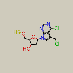 O[C@@H]1C[C@H](n2cc(CCl)c3c(Cl)ncnc32)O[C@@H]1COS